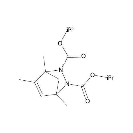 CC1=CC2(C)CC1(C)N(C(=O)OC(C)C)N2C(=O)OC(C)C